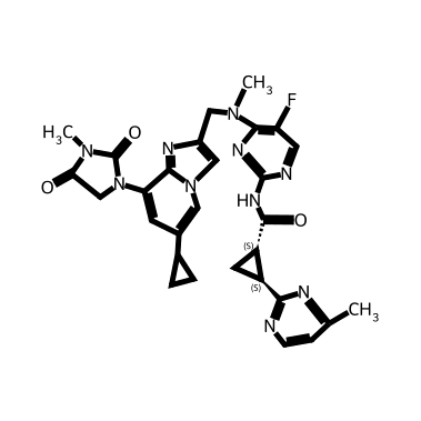 Cc1ccnc([C@H]2C[C@@H]2C(=O)Nc2ncc(F)c(N(C)Cc3cn4cc(C5CC5)cc(N5CC(=O)N(C)C5=O)c4n3)n2)n1